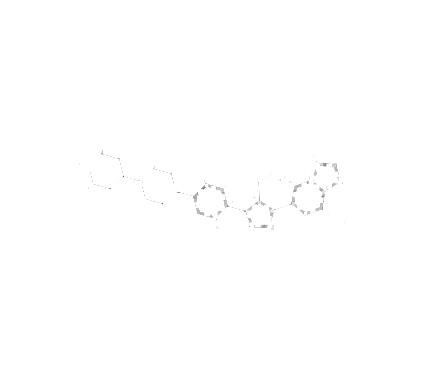 COc1cc(-c2[nH]nc(-c3ccc(N4CCN(C5CCOCC5)CC4)cn3)c2CC(F)(F)F)cn2ncnc12